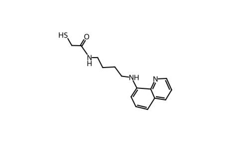 O=C(CS)NCCCCNc1cccc2cccnc12